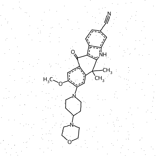 COc1cc2c(cc1N1CCC(N3CCOCC3)CC1)C(C)(C)c1[nH]c3cc(C#N)ccc3c1C2=O